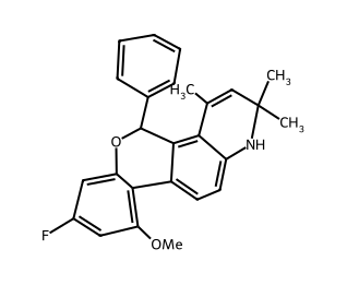 COc1cc(F)cc2c1-c1ccc3c(c1C(c1ccccc1)O2)C(C)=CC(C)(C)N3